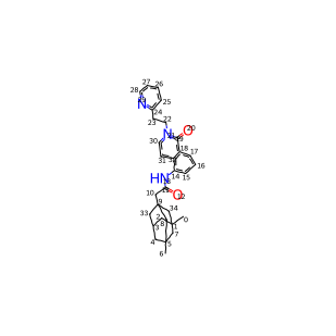 CC12CC3CC(C)(C1)CC(CC(=O)Nc1cccc4c(=O)n(CCc5ccccn5)ccc14)(C3)C2